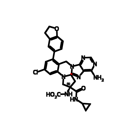 Nc1ncnc2c1ncn2Cc1c(-c2ccc3c(c2)CCO3)cc(Cl)cc1N1CC[C@](NC(=O)O)(C(=O)NC2CC2)C1